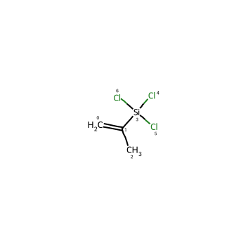 C=C(C)[Si](Cl)(Cl)Cl